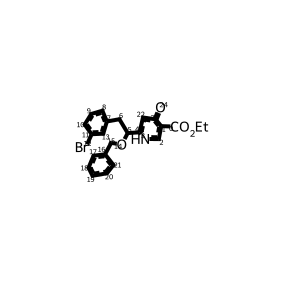 CCOC(=O)c1c[nH]c(C(Cc2cccc(Br)c2)OCc2ccccc2)cc1=O